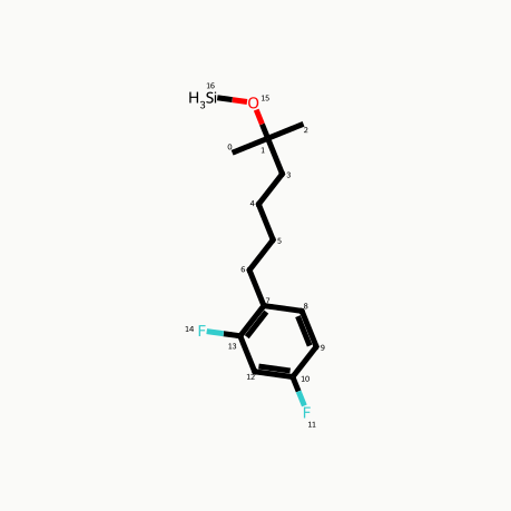 CC(C)(CCCCc1ccc(F)cc1F)O[SiH3]